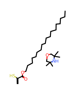 C=C(S)C(=O)OCCCCCCCCCCCCCCCCCC.CC1(C)COCC(C)(C)N1